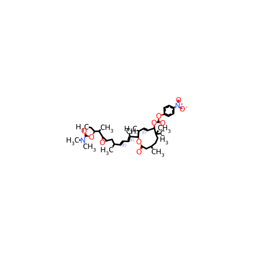 CCC(OC(=O)N(C)C)C(C)C1OC1CC(C)/C=C/C=C(\C)C1OC(=O)CC(C)CCC(C)(C)C(OC(=O)Oc2ccc([N+](=O)[O-])cc2)/C=C/C1C